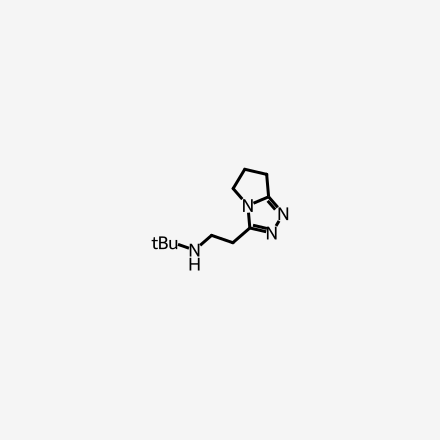 CC(C)(C)NCCc1nnc2n1CCC2